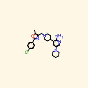 Cc1oc(-c2ccc(Cl)cc2)nc1CN1CCC(c2cc(N3CCCCC3)cnc2N)CC1